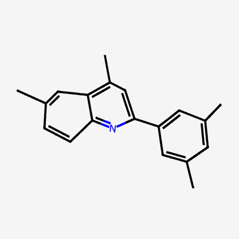 Cc1cc(C)cc(-c2cc(C)c3cc(C)ccc3n2)c1